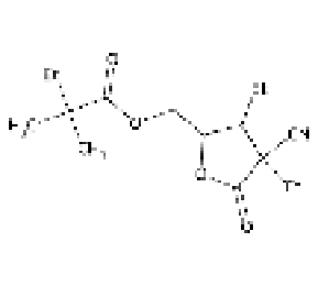 CCC1C(COC(=O)C(C)(C)CC)OC(=O)C1(C#N)CC